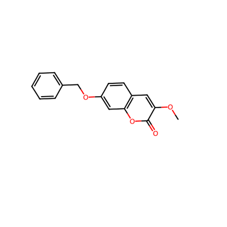 COc1cc2ccc(OCc3ccccc3)cc2oc1=O